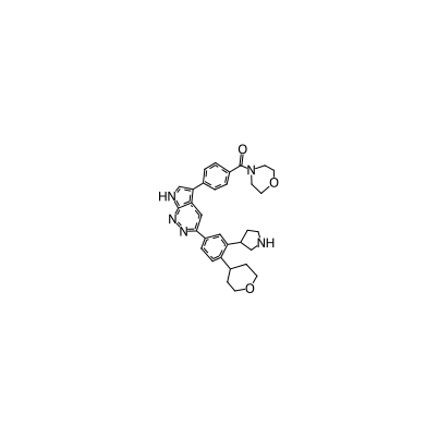 O=C(c1ccc(-c2c[nH]c3nnc(-c4ccc(C5CCOCC5)c(C5CCNC5)c4)cc23)cc1)N1CCOCC1